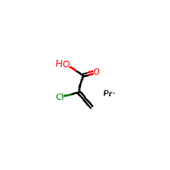 C=C(Cl)C(=O)O.[Pr]